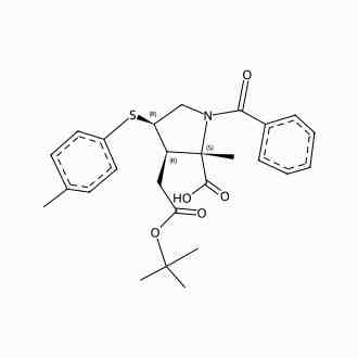 Cc1ccc(S[C@H]2CN(C(=O)c3ccccc3)[C@](C)(C(=O)O)[C@H]2CC(=O)OC(C)(C)C)cc1